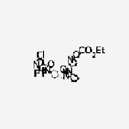 CCOC(=O)COc1ccc(-n2c(=O)n(C[C@H]3CC[C@H](NC(=O)c4cc(Cl)cnc4C(F)F)CC3)c3ccccc32)cn1